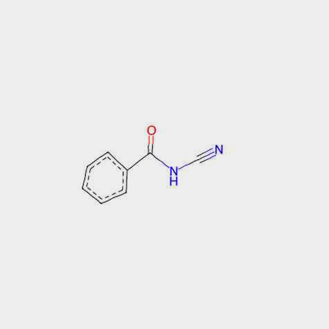 N#CNC(=O)c1ccccc1